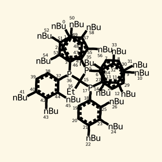 CCCCc1ccc(P(c2ccc(CCCC)c(CCCC)c2CCCC)C(CC)(P(c2ccc(CCCC)c(CCCC)c2CCCC)c2ccc(CCCC)c(CCCC)c2CCCC)P(c2ccc(CCCC)c(CCCC)c2CCCC)c2ccc(CCCC)c(CCCC)c2CCCC)c(CCCC)c1CCCC